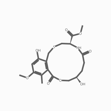 COC(=O)[C@@H]1CSCc2c(O)cc(OC)c(C)c2C(=O)OC[C@H](O)CCC(=O)N1